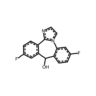 OC1c2cc(F)ccc2-c2nccn2-c2cc(F)ccc21